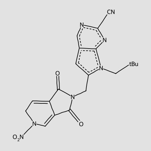 CC(C)(C)Cn1c(CN2C(=O)C3=CCN([N+](=O)[O-])C=C3C2=O)cc2cnc(C#N)nc21